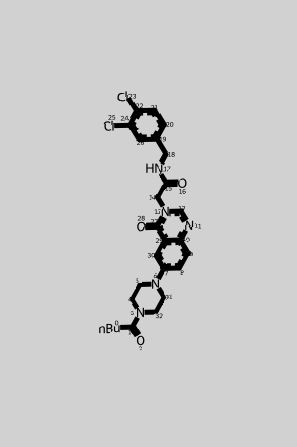 CCCCC(=O)N1CCN(c2ccc3ncn(CC(=O)NCc4ccc(Cl)c(Cl)c4)c(=O)c3c2)CC1